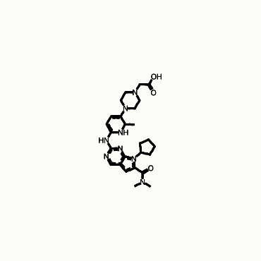 CC1NC(Nc2ncc3cc(C(=O)N(C)C)n(C4CCCC4)c3n2)=CC=C1N1CCN(CC(=O)O)CC1